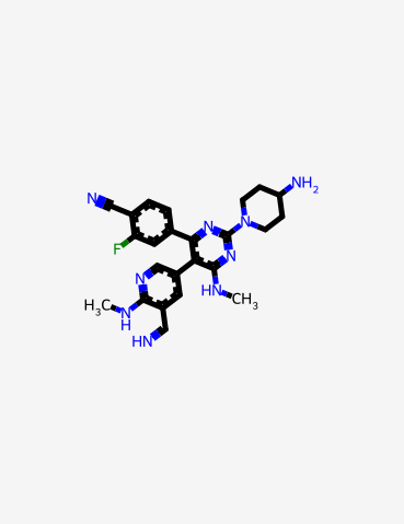 CNc1ncc(-c2c(NC)nc(N3CCC(N)CC3)nc2-c2ccc(C#N)c(F)c2)cc1C=N